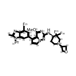 COc1nc(N[C@@H]2CCN(C3COC3)CC2(F)F)nn2ccc(-c3cc(F)c4nc(C)n(C(C)C)c4c3)c12